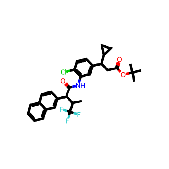 CC(C(C(=O)Nc1cc(C(CC(=O)OC(C)(C)C)C2CC2)ccc1Cl)c1ccc2ccccc2c1)C(F)(F)F